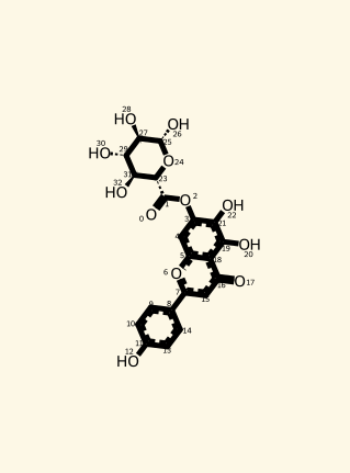 O=C(Oc1cc2oc(-c3ccc(O)cc3)cc(=O)c2c(O)c1O)[C@H]1O[C@@H](O)[C@H](O)[C@@H](O)[C@@H]1O